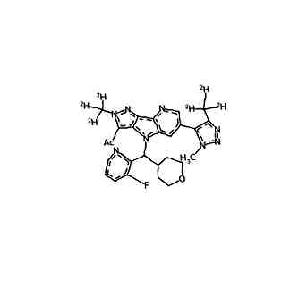 [2H]C([2H])([2H])c1nnn(C)c1-c1cnc2c3nn(C([2H])([2H])[2H])c(C(C)=O)c3n(C(c3ncccc3F)C3CCOCC3)c2c1